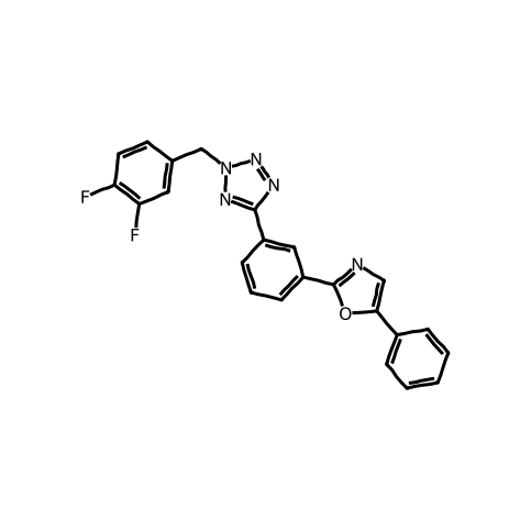 Fc1ccc(Cn2nnc(-c3cccc(-c4ncc(-c5ccccc5)o4)c3)n2)cc1F